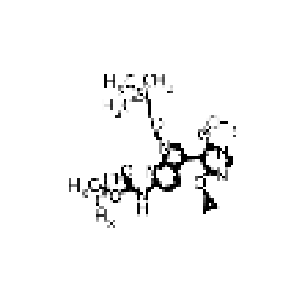 COc1ncnc(OC2CC2)c1-c1cn(COCC[Si](C)(C)C)c2nc(NC(=O)OC(C)(C)C)ccc12